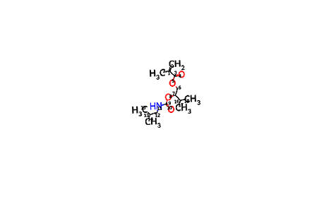 C=C(C)C(=O)OCC(OC(=O)NCC(C)C)C(C)C